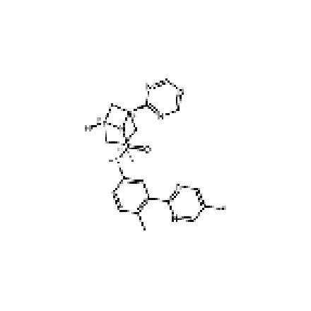 Cc1ccc(NC(=O)N2[C@@H]3C[C@@H](C)C[C@@]2(c2ncncn2)C3)cc1-c1ncc(F)cn1